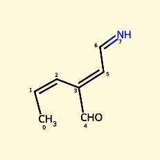 C/C=C\C(C=O)=C/C=N